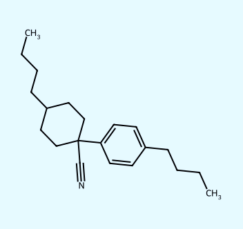 CCCCc1ccc(C2(C#N)CCC(CCCC)CC2)cc1